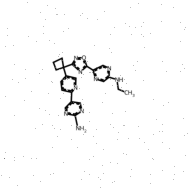 CCNc1cnc(-c2nc(C3(c4ccc(-c5cnc(N)nc5)nc4)CCC3)no2)cn1